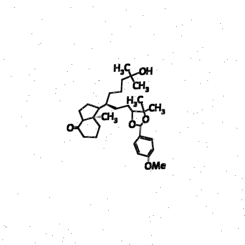 COc1ccc(C2OC(CC[C@H](CCCC(C)(C)O)C3CCC4C(=O)CCC[C@@]43C)C(C)(C)O2)cc1